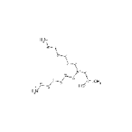 CC(O)CN(CCCCCCN)CCCCCCN